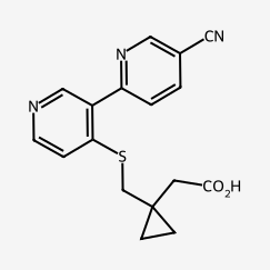 N#Cc1ccc(-c2cnccc2SCC2(CC(=O)O)CC2)nc1